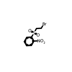 O=[N+]([O-])c1ccccc1S(=O)(=O)CCBr